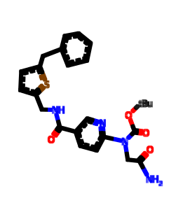 CC(C)(C)OC(=O)N(CC(N)=O)c1ccc(C(=O)NCc2ccc(Cc3ccccc3)s2)cn1